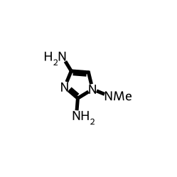 CNn1cc(N)nc1N